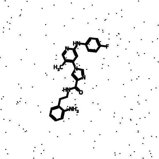 Cc1cnc(Nc2ccc(F)cc2)cc1-n1cnc(C(=O)NCCc2ccccc2N)c1